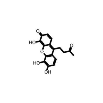 CC(=O)CCc1c2ccc(=O)c(O)c-2oc2c(O)c(O)ccc12